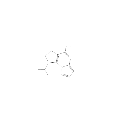 CCOC(=O)c1nc2c([N+](=O)[O-])cnn2c2c1CCN2C(CC)CC